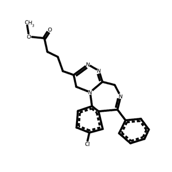 COC(=O)CCCC1=NN=C2CN=C(c3ccccc3)c3cc(Cl)ccc3N2C1